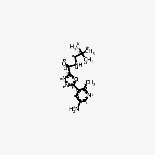 Cc1ncc(N)cc1-c1nnc(C(=O)NCC(C)(C)C)o1